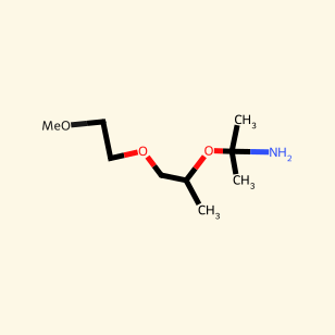 COCCOCC(C)OC(C)(C)N